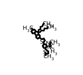 CCCCCCC1(CCCCCC)c2cc(C)ccc2-c2ccc(-c3ccc(-c4ccc(-c5ccc(C)s5)c5nc(C)c(C)nc45)s3)cc21